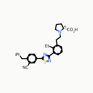 CCc1c(CCN2CCC[C@@H]2C(=O)O)cccc1-c1nsc(-c2ccc(CC(C)C)c(C#N)c2)n1